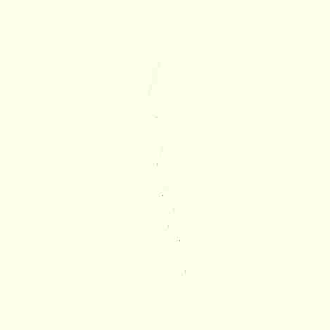 [CH2]OC#CCCCCCCCCCCCCC